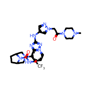 CN1CCN(C(=O)Cn2cc(Nc3nc4c(N5CC6CCC(C5)N6C(=O)NCC(F)(F)F)cccn4n3)cn2)CC1